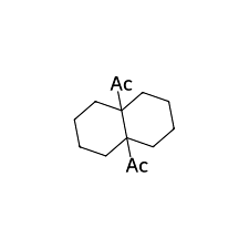 CC(=O)C12CCCCC1(C(C)=O)CCCC2